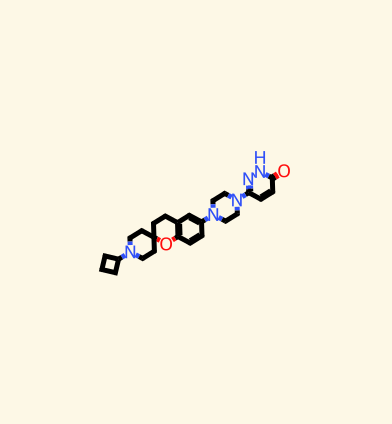 O=c1ccc(N2CCN(c3ccc4c(c3)CCC3(CCN(C5CCC5)CC3)O4)CC2)n[nH]1